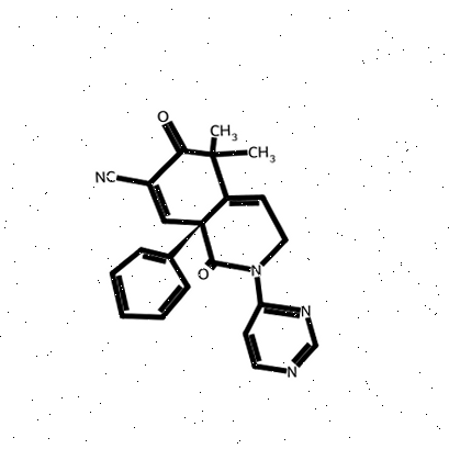 CC1(C)C(=O)C(C#N)=C[C@@]2(c3ccccc3)C(=O)N(c3ccncn3)CC=C12